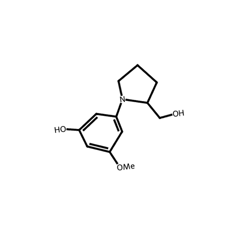 COc1cc(O)cc(N2CCCC2CO)c1